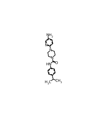 CC(C)c1ccc(NC(=O)N2CCN(c3ccc(N)cn3)CC2)cc1